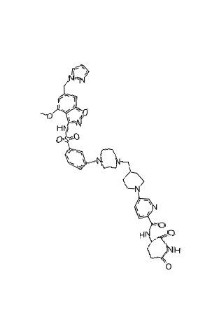 COc1cc(Cn2cccn2)cc2onc(NS(=O)(=O)c3cccc(N4CCN(CC5CCN(c6ccc(C(=O)NC7CCC(=O)NC7=O)nc6)CC5)CC4)c3)c12